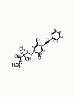 CC(C)(CCn1cc(F)c(C#Cc2ccccc2)cc1=O)C(=O)NO